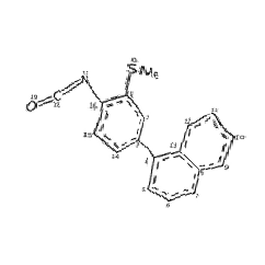 CSc1cc(-c2cccc3ccccc23)ccc1N=C=O